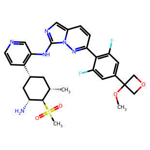 COC1(c2cc(F)c(-c3ccc4cnc(Nc5cnccc5[C@H]5C[C@@H](N)[C@H](S(C)(=O)=O)[C@@H](C)C5)n4n3)c(F)c2)COC1